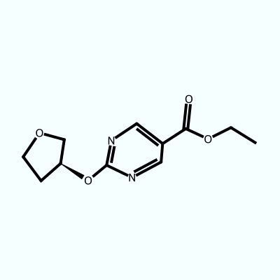 CCOC(=O)c1cnc(O[C@H]2CCOC2)nc1